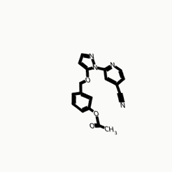 CC(=O)Oc1cccc(COc2ccnn2-c2cc(C#N)ccn2)c1